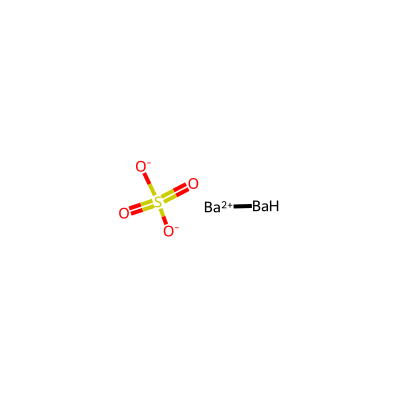 O=S(=O)([O-])[O-].[Ba+2][BaH]